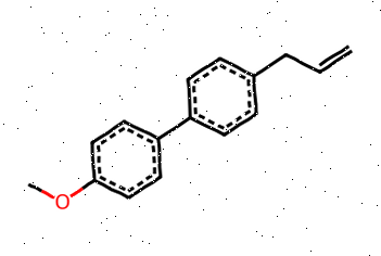 C=CCc1ccc(-c2ccc(OC)cc2)cc1